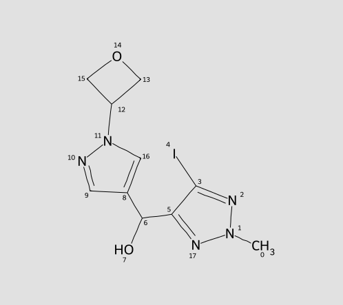 Cn1nc(I)c(C(O)c2cnn(C3COC3)c2)n1